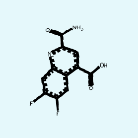 NC(=O)c1cc(C(=O)O)c2cc(F)c(F)cc2n1